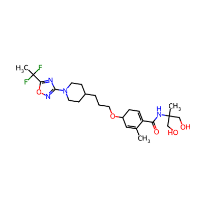 CC1=CC(OCCCC2CCN(c3noc(C(C)(F)F)n3)CC2)CC=C1C(=O)NC(C)(CO)CO